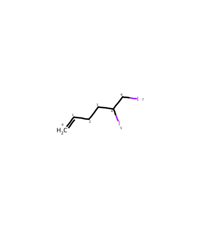 C=CCCC(I)CI